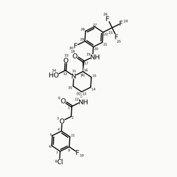 O=C(COc1ccc(Cl)c(F)c1)N[C@H]1CC[C@H](C(=O)Nc2cc(C(F)(F)F)ccc2F)N(C(=O)O)C1